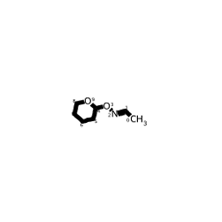 C[C]=NOC1CCCCO1